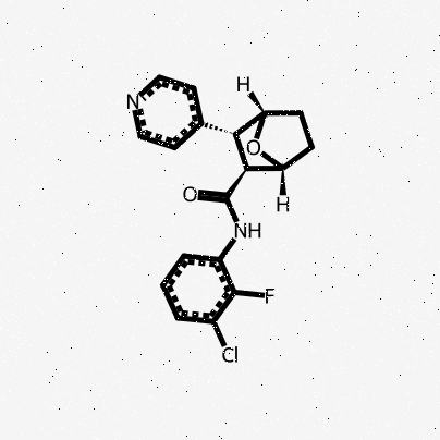 O=C(Nc1cccc(Cl)c1F)[C@H]1[C@H](c2ccncc2)[C@@H]2CC[C@H]1O2